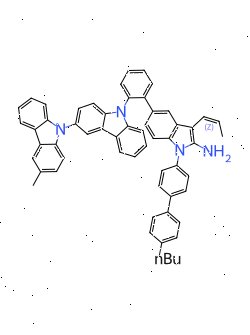 C/C=C\c1c(N)n(-c2ccc(-c3ccc(CCCC)cc3)cc2)c2ccc(-c3ccccc3-n3c4ccccc4c4cc(-n5c6ccccc6c6cc(C)ccc65)ccc43)cc12